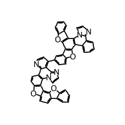 c1ccc2c(c1)oc1c2ccc2oc3ccc4c5nccc(-c6ccc7oc8c(c7c6)c6oc7ccccc7c6c6c8c7ccccc7c7nccn76)c5c5nccn5c4c3c21